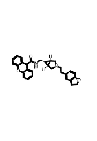 O=C(NC[C@@H]1[C@H]2CN(CCc3ccc4c(c3)CCO4)C[C@@H]12)C1c2ccccc2Oc2ccccc21